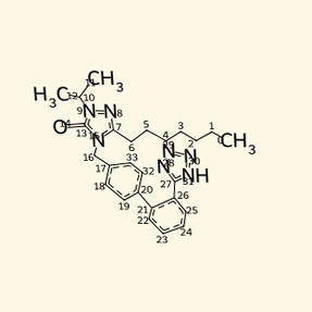 CCCCCCCc1nn(C(C)C)c(=O)n1Cc1ccc(-c2ccccc2-c2nnn[nH]2)cc1